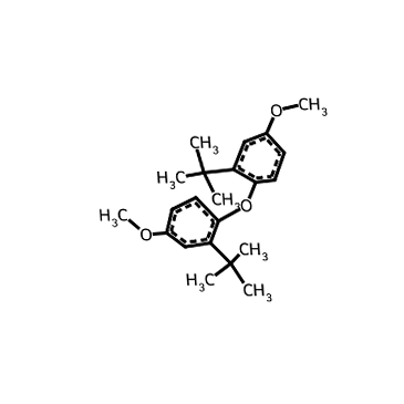 COc1ccc(Oc2ccc(OC)cc2C(C)(C)C)c(C(C)(C)C)c1